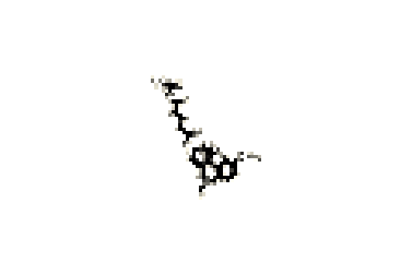 COc1ccc2c3c1O[C@H]1C[C@@H](OC(=O)CCCC(=O)OC(=O)C(F)(F)F)C=C[C@@]31CCN(C)C2